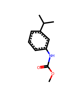 COC(=O)Nc1cccc(C(C)C)c1